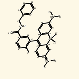 Cc1ccc(C(=O)NCc2ccccc2)cc1C1=C2C=CC(=[N+](C)C)C=C2[Si](C)(C)c2cc(N(C)C)ccc21